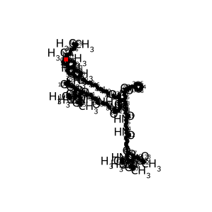 CC(=O)NC1C(OCCCCC(=O)NCCCNC(=O)CCOCC2CN(C(=O)OCc3ccccc3)CC(COCCCCCCCCCCO[C@@H]3C=C4CC[C@H]5[C@@H]6CC[C@H]([C@H](C)CCCC(C)C)[C@@]6(C)CC[C@@H]5[C@@]4(C)CC3)C2OCCC(=O)NCCCNC(=O)CCCCOC2OC(COC(C)=O)C(OC(C)=O)C(C)C2NC(C)=O)OC(COC(C)=O)C(OC(C)=O)C1C